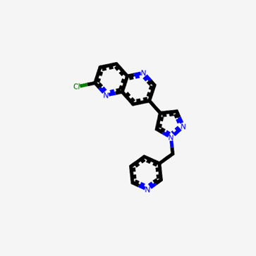 Clc1ccc2ncc(-c3cnn(Cc4cccnc4)c3)cc2n1